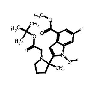 COC(=O)c1cc(F)cc2c1cc(C1(C)CCCN1CC(=O)OC(C)(C)C)n2SI